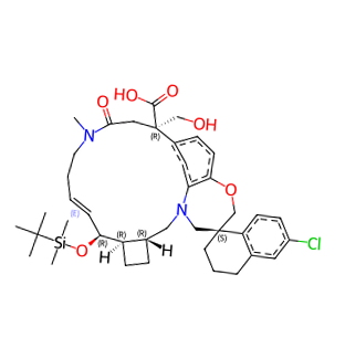 CN1CC/C=C/[C@H](O[Si](C)(C)C(C)(C)C)[C@@H]2CC[C@H]2CN2C[C@@]3(CCCc4cc(Cl)ccc43)COc3ccc(cc32)[C@](CO)(C(=O)O)CC1=O